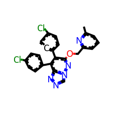 Cc1cccc(COc2nn3cnnc3c(-c3ccc(Cl)cc3)c2-c2ccc(Cl)cc2)n1